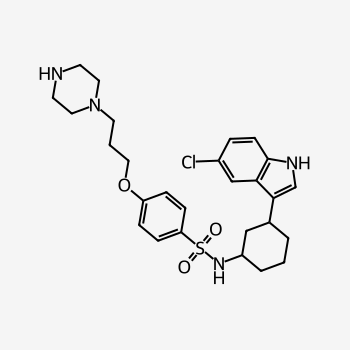 O=S(=O)(NC1CCCC(c2c[nH]c3ccc(Cl)cc23)C1)c1ccc(OCCCN2CCNCC2)cc1